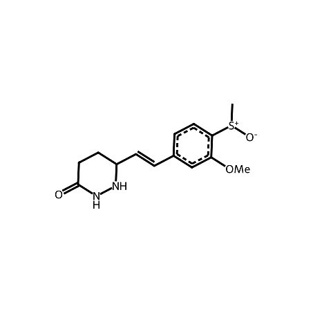 COc1cc(/C=C/C2CCC(=O)NN2)ccc1[S+](C)[O-]